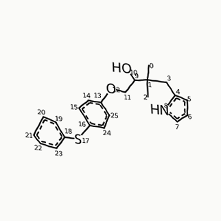 CC(C)(Cc1ccc[nH]1)C(O)COc1ccc(Sc2ccccc2)cc1